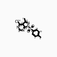 Cc1ccc(S(=O)(=O)n2nc(C)c3c(Cl)ncnc32)cc1